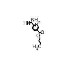 CCCCOC(=O)c1ccc(C(=N)N)nc1